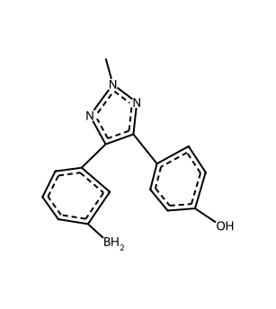 Bc1cccc(-c2nn(C)nc2-c2ccc(O)cc2)c1